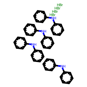 Br.Br.Br.Br.c1ccc(Nc2ccccc2)cc1.c1ccc(Nc2ccccc2)cc1.c1ccc(Nc2ccccc2)cc1.c1ccc(Nc2ccccc2)cc1